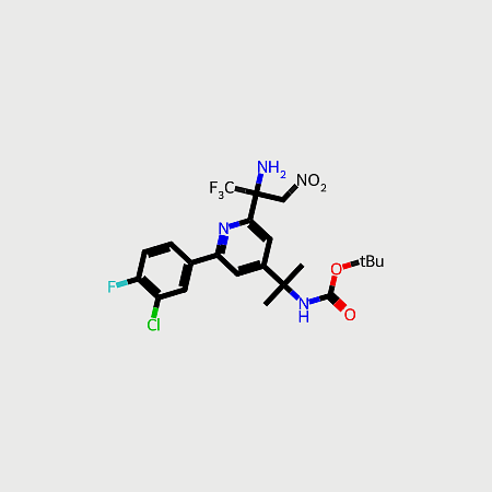 CC(C)(C)OC(=O)NC(C)(C)c1cc(-c2ccc(F)c(Cl)c2)nc(C(N)(C[N+](=O)[O-])C(F)(F)F)c1